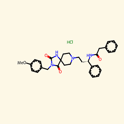 COc1ccc(CN2C(=O)NC3(CCN(CC[C@H](NC(=O)Cc4ccccc4)c4ccccc4)CC3)C2=O)cc1.Cl